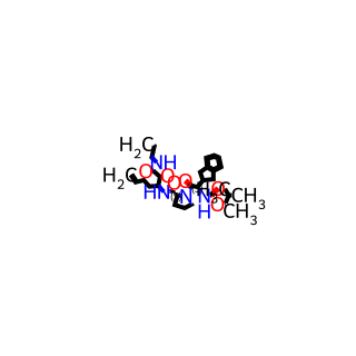 C=CCCC(NC(=O)[C@@H]1CCCN1C(=O)[C@@H](NC(=O)OC(C)C(C)C)C1Cc2ccccc2C1)C(=O)C(=O)NCC=C